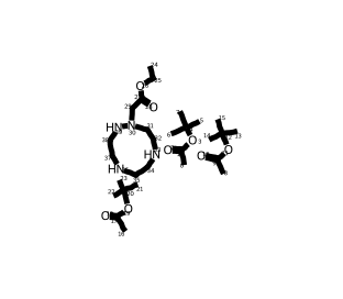 CC(=O)OC(C)(C)C.CC(=O)OC(C)(C)C.CC(=O)OC(C)(C)C.CCOC(=O)CN1CCNCCNCCN1